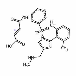 CNCc1cc(-c2c(C)cccc2C)n(S(=O)(=O)c2cccnc2)c1.O=C(O)/C=C/C(=O)O